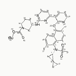 Cc1ccc2c(N([C@H]3CC34CC4)S(C)(=O)=O)c(F)ccc2c1Oc1ncccc1-c1ccnc(NC2CCCN(C(=O)OC(C)(C)C)C2)n1